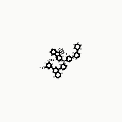 CC(C)(C)c1cc(-c2cc3c(c(-c4cccc(N(c5ccc(-c6cccc(C7CCCCC7)c6)cc5)c5ccc6c(c5)C(C)(C)c5ccccc5-6)c4)c2)CCCC3)cc(C(C)(C)C)c1